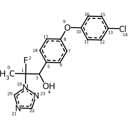 CC(F)(C(O)c1ccc(Oc2ccc(Cl)cc2)cc1)n1cncn1